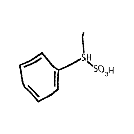 C[SiH](c1ccccc1)S(=O)(=O)O